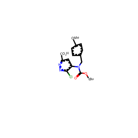 COc1ccc(CN(C(=O)OC(C)(C)C)c2cc(C(=O)O)nnc2Cl)cc1